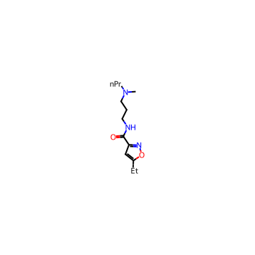 CCCN(C)CCCNC(=O)c1cc(CC)on1